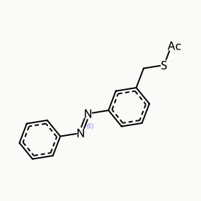 CC(=O)SCc1cccc(/N=N/c2ccccc2)c1